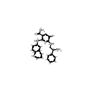 NC(=O)c1cc(F)c(NCC(N)c2ccccc2)nc1Nc1ccc2ncccc2c1